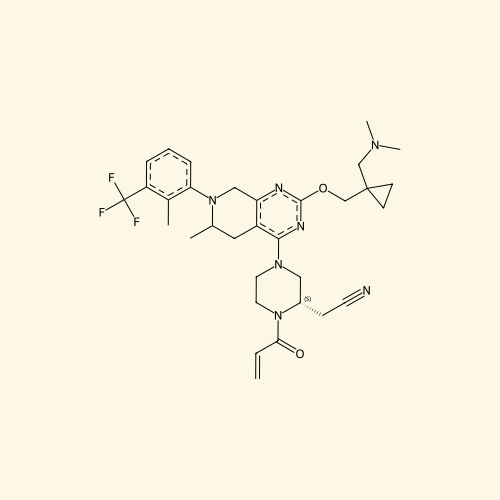 C=CC(=O)N1CCN(c2nc(OCC3(CN(C)C)CC3)nc3c2CC(C)N(c2cccc(C(F)(F)F)c2C)C3)C[C@@H]1CC#N